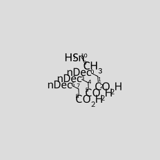 CCCCCCCCCCCC(=O)O.CCCCCCCCCCCC(=O)O.CCCCCCCCCCCC(=O)O.[CH3][SnH]